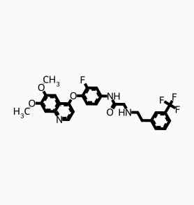 COc1cc2nccc(Oc3ccc(NC(=O)CNCCc4cccc(C(F)(F)F)c4)cc3F)c2cc1OC